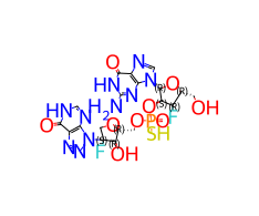 Nc1nc2c(ncn2[C@@H]2O[C@H](CO)[C@@H](F)[C@H]2OP(=O)(S)OC[C@H]2OC[C@@](F)(n3nnc4c(=O)[nH]cnc43)[C@@H]2O)c(=O)[nH]1